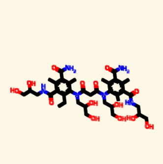 CCc1c(C(=O)NCC(O)CO)c(C)c(C(N)=O)c(C)c1N(CC(O)CO)C(=O)CC(=O)N(CC(O)CO)c1c(C)c(C(N)=O)c(C)c(C(=O)NCC(O)CO)c1C